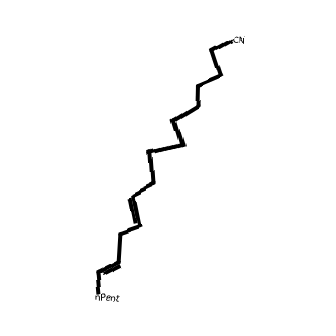 [CH2]CCCCC=CCC=CCCCCCCCCC#N